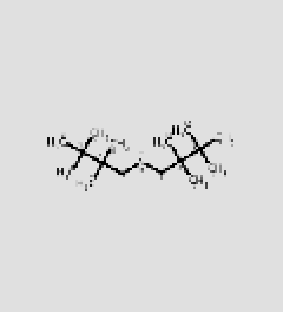 CC(C)(C)C(C)(C)CNCC(C)(C)C(C)(C)C